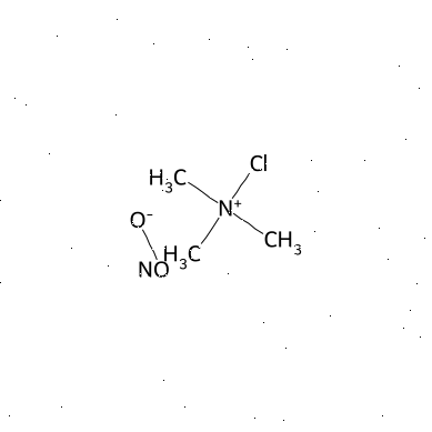 C[N+](C)(C)Cl.O=[NH+][O-]